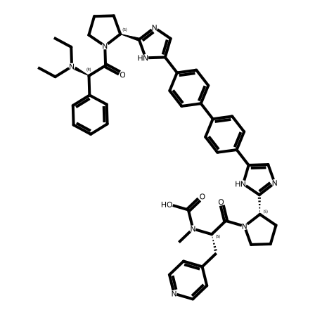 CCN(CC)[C@@H](C(=O)N1CCC[C@H]1c1ncc(-c2ccc(-c3ccc(-c4cnc([C@@H]5CCCN5C(=O)[C@H](Cc5ccncc5)N(C)C(=O)O)[nH]4)cc3)cc2)[nH]1)c1ccccc1